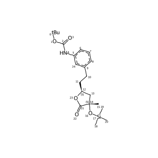 CC(C)(C)OC(=O)Nc1cccc(CC[C@H]2C[C@](C)(O[Si](C)(C)C)C(=O)O2)c1